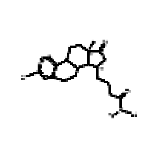 CCN(CC)C(=O)CCC[C@@H]1CC(=O)[C@@]2(C)CCC3c4ccc(Cl)cc4CCC3C12